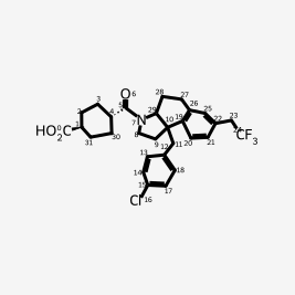 O=C(O)[C@H]1CC[C@H](C(=O)N2CCC3(Cc4ccc(Cl)cc4)c4ccc(CC(F)(F)F)cc4CCC23)CC1